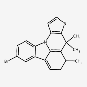 CC1CC=c2c3n(c4ccc(Br)cc24)-c2ccsc2C(C)(C)C=31